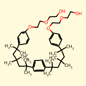 CC(C)(CC(C)(C)c1ccc(OCCOCCO)cc1)CC(C)(C)c1ccc(C(C)(C)CC(C)(C)CC(C)(C)c2ccc(OCCOCCO)cc2)cc1